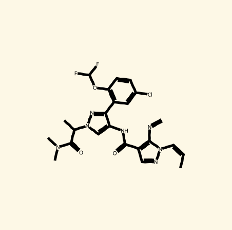 C=Nc1c(C(=O)Nc2cn(C(C)C(=O)N(C)C)nc2-c2cc(Cl)ccc2OC(F)F)cnn1/C=C\C